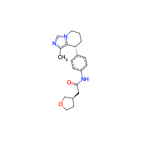 Cc1ncn2c1[C@@H](c1ccc(NC(=O)C[C@H]3CCOC3)cc1)CCC2